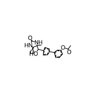 CC(=O)Oc1cccc(-c2ccc(C(O)C3(C)NC(=O)NC3=O)cc2)c1